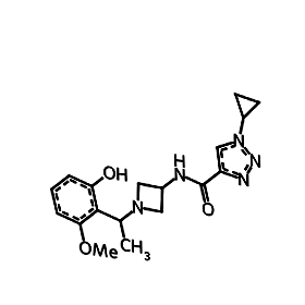 COc1cccc(O)c1C(C)N1CC(NC(=O)c2cn(C3CC3)nn2)C1